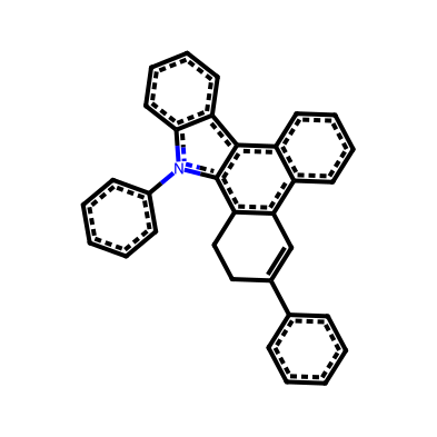 C1=C(c2ccccc2)CCc2c1c1ccccc1c1c3ccccc3n(-c3ccccc3)c21